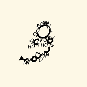 CC[C@H]1OC(=O)[C@H](C)C([C@H]2C[C@@](C)(OC)[C@@H](O)[C@H](C)O2)[C@H](C)[C@@H](O[C@@H]2O[C@H](C)C[C@H](N(C)CCc3cn([C@H](CF)[C@H](OC)c4ccc(-n5cc(C6CC6)nn5)cc4)nn3)[C@H]2O)[C@](C)(O)C[C@@H](C)CN(C)[C@H](C)[C@@H](O)[C@]1(C)O